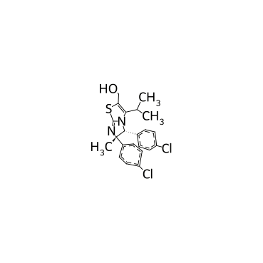 CC(C)C1=C(CO)SC2=N[C@@](C)(c3ccc(Cl)cc3)[C@@H](c3ccc(Cl)cc3)N21